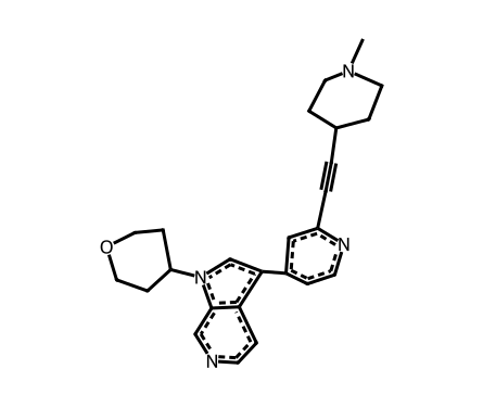 CN1CCC(C#Cc2cc(-c3cn(C4CCOCC4)c4cnccc34)ccn2)CC1